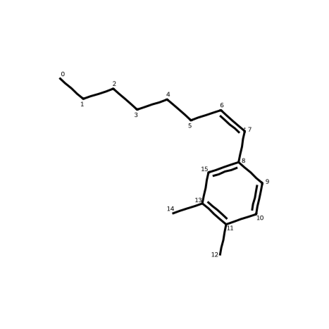 CCCCCC/C=[C]\c1ccc(C)c(C)c1